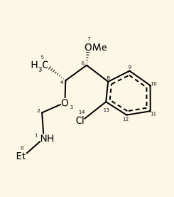 CCNCO[C@H](C)[C@H](OC)c1ccccc1Cl